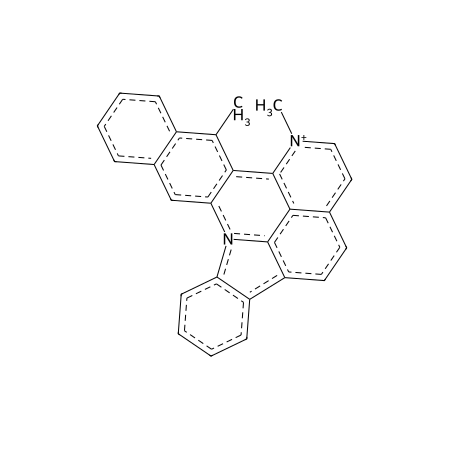 Cc1c2ccccc2cc2c1c1c3c(ccc4c5ccccc5n2c43)cc[n+]1C